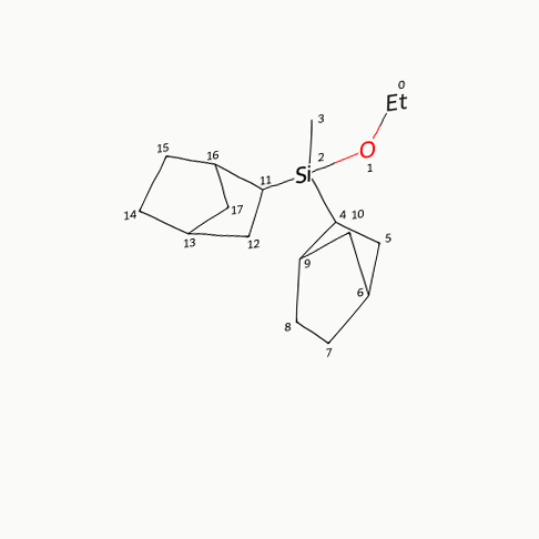 [CH2]CO[Si](C)(C1CC2CCC1C2)C1CC2CCC1C2